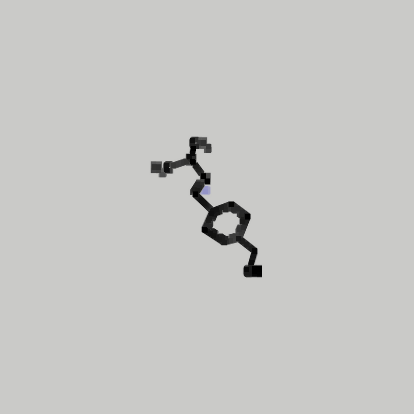 CN(C)/N=C/c1ccc(CO)cc1